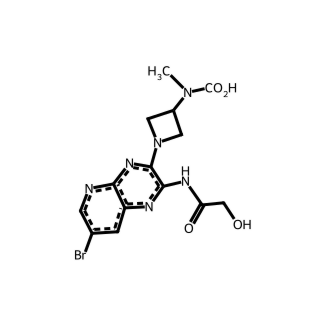 CN(C(=O)O)C1CN(c2nc3ncc(Br)cc3nc2NC(=O)CO)C1